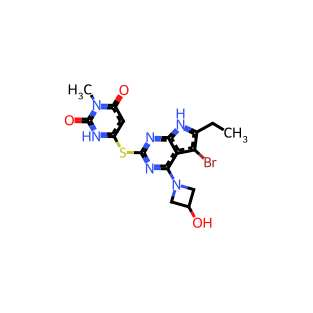 CCc1[nH]c2nc(Sc3cc(=O)n(C)c(=O)[nH]3)nc(N3CC(O)C3)c2c1Br